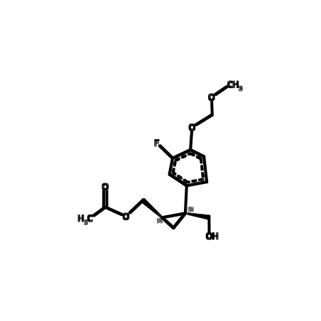 COCOc1ccc([C@]2(CO)C[C@H]2COC(C)=O)cc1F